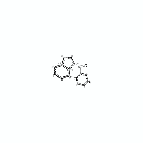 O=Cc1cnccc1-c1cccc2ccsc12